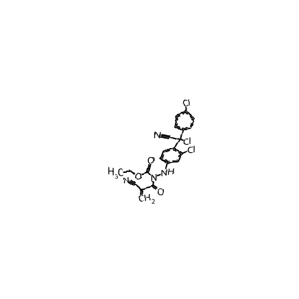 C=C(C#N)C(=O)N(Nc1ccc(C(Cl)(C#N)c2ccc(Cl)cc2)c(Cl)c1)C(=O)OCC